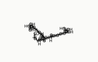 CC(C)(CCOC(C)(C)CCC(=O)O)NC(=O)CNC(=O)[C@H](CCCCNC(=O)COCCOCCOCCO[C@H]1C[C@@H](O)[C@@H](O)[C@@H](CO)O1)NC(=O)COCCOCCOCCO[C@H]1C[C@@H](O)[C@@H](O)[C@@H](CO)O1